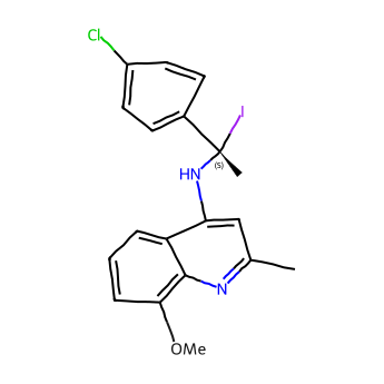 COc1cccc2c(N[C@@](C)(I)c3ccc(Cl)cc3)cc(C)nc12